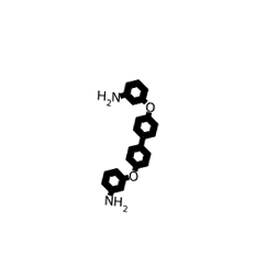 Nc1cccc(Oc2ccc(-c3ccc(Oc4cccc(N)c4)cc3)cc2)c1